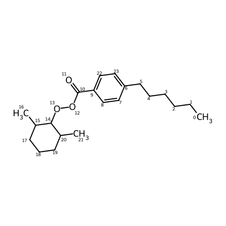 CCCCCCc1ccc(C(=O)OO[C]2C(C)CCCC2C)cc1